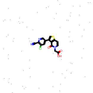 N#Cc1ncc(-c2csc3ccn(CC(=O)O)c(=O)c23)cc1Cl